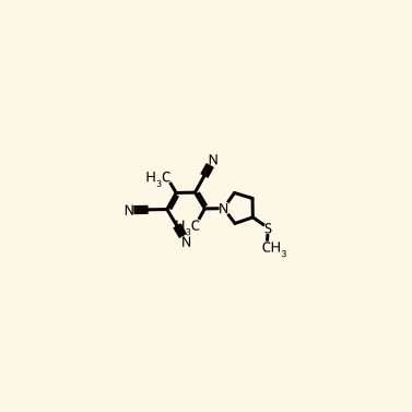 CSC1CCN(/C(C)=C(\C#N)C(C)=C(C#N)C#N)C1